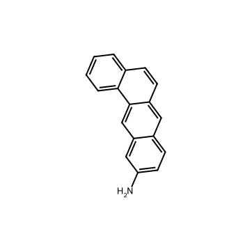 Nc1ccc2cc3ccc4ccccc4c3cc2c1